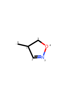 [CH2]C1C=NOC1